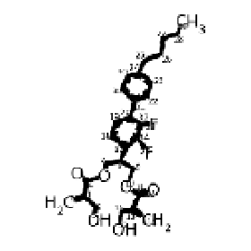 C=C(CO)C(=O)OCC(COC(=O)C(=C)CO)c1ccc(-c2ccc(CCCCC)cc2)c(F)c1F